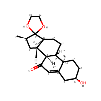 C[C@@H]1C[C@H]2[C@@H]3C(=O)C=C4C[C@H](O)CC[C@]4(C)[C@H]3CC[C@]2(C)C12OCCO2